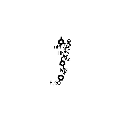 CCCc1ccc(C)cc1N1C(=O)CS/C1=N\C(=S)NC(Cc1ccc(-c2ncn(-c3ccc(OC(F)(F)F)cc3)n2)cc1)N(C)C(C)=O